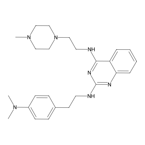 CN1CCN(CCNc2nc(NCCc3ccc(N(C)C)cc3)nc3ccccc23)CC1